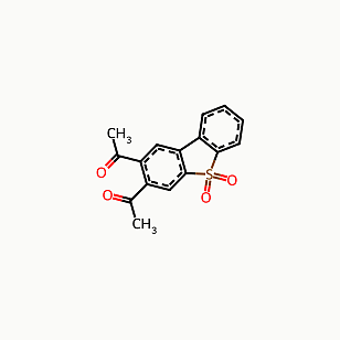 CC(=O)c1cc2c(cc1C(C)=O)S(=O)(=O)c1ccccc1-2